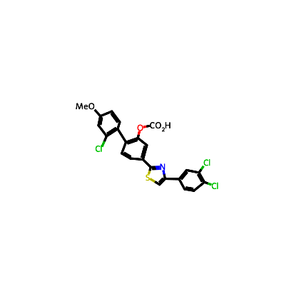 COc1ccc(-c2ccc(-c3nc(-c4ccc(Cl)c(Cl)c4)cs3)cc2OC(=O)O)c(Cl)c1